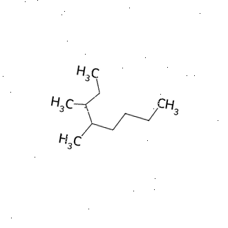 CCCCC(C)[C](C)CC